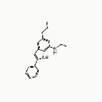 CCCc1cc(NCC)c2[nH]c(-c3ccccc3)cc2c1